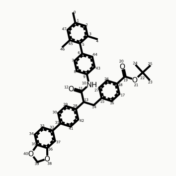 Cc1cc(C)c(-c2ccc(NC(=O)C(Cc3ccc(C(=O)OC(C)(C)C)cc3)c3ccc(-c4ccc5c(c4)OCO5)cc3)cc2)c(C)c1